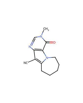 Cn1cnc2c(C#N)c3n(c2c1=O)CCCCC3